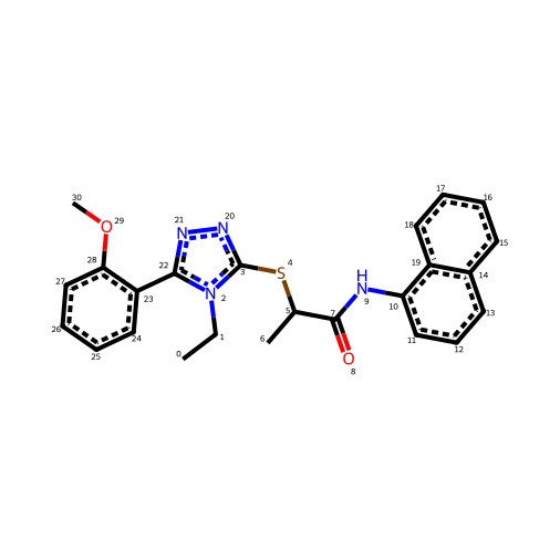 CCn1c(SC(C)C(=O)Nc2cccc3ccccc23)nnc1-c1ccccc1OC